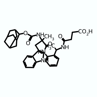 CC(NC(=O)CCC(=O)O)c1ccccc1NC(=O)C(C)(Cc1c[nH]c2ccccc12)NC(=O)OC1C2CC3CC(C2)CC1C3